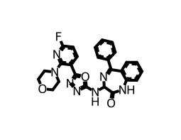 O=C1Nc2ccccc2C(c2ccccc2)=NC1Nc1nnc(-c2ccc(F)nc2N2CCOCC2)o1